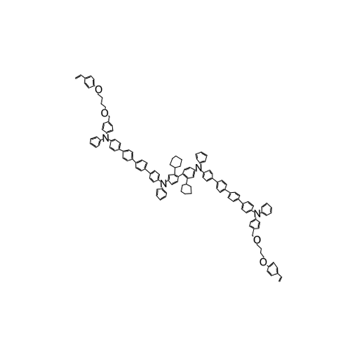 C=Cc1ccc(OCCCCOCc2ccc(N(c3ccccc3)c3ccc(-c4ccc(-c5ccc(-c6ccc(N(c7ccccc7)c7ccc(-c8ccc(N(c9ccccc9)c9ccc(-c%10ccc(-c%11ccc(-c%12ccc(N(c%13ccccc%13)c%13ccc(COCCCCOc%14ccc(C=C)cc%14)cc%13)cc%12)cc%11)cc%10)cc9)cc8C8CCCCC8)c(C8CCCCC8)c7)cc6)cc5)cc4)cc3)cc2)cc1